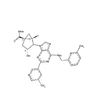 CNC(=O)[C@]12C[C@@H](O)C(n3cnc4c(NCc5cccc(C)n5)nc(-c5cncc(C)c5)nc43)[C@H]1C2